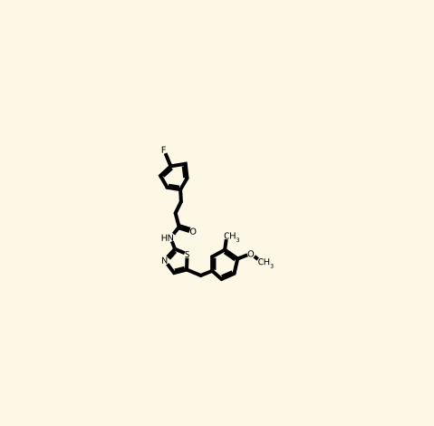 COc1ccc(Cc2cnc(NC(=O)CCc3ccc(F)cc3)s2)cc1C